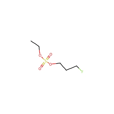 CCOS(=O)(=O)OCCCF